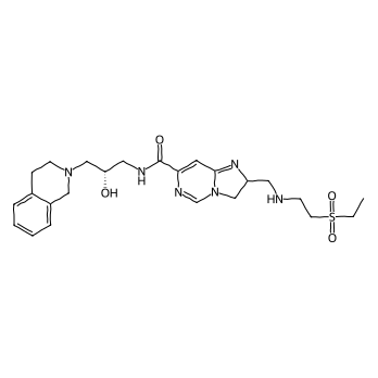 CCS(=O)(=O)CCNCC1CN2C=NC(C(=O)NC[C@H](O)CN3CCc4ccccc4C3)=CC2=N1